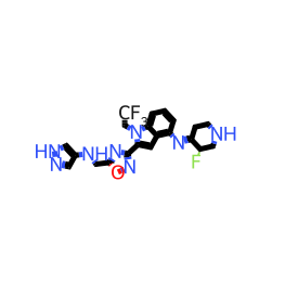 F[C@H]1CNCC/C1=N\c1cccc2c1cc(-c1noc(CNc3cn[nH]c3)n1)n2CC(F)(F)F